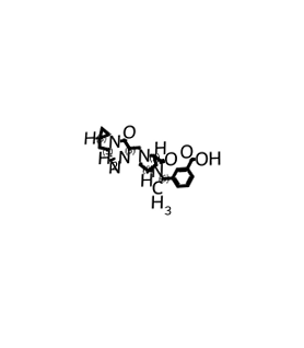 C[C@@H](c1cccc(C(=O)O)c1)N1C(=O)[C@@H]2C[C@H]1CN2C[C@H](N)C(=O)N1C2C[C@H]2C[C@H]1C#N